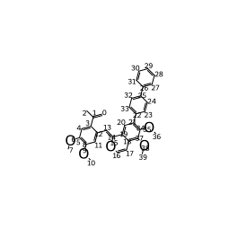 C=C(C)c1cc(OC)c(OC)cc1/C=C1\OC=Cc2c1cc(-c1ccc(-c3ccccc3)cc1)c(OC)c2OC